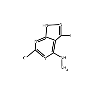 NNc1nc(Cl)nc2[nH]nc(I)c12